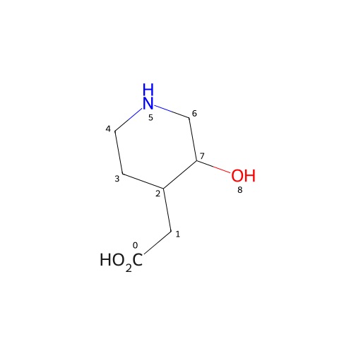 O=C(O)CC1CCNCC1O